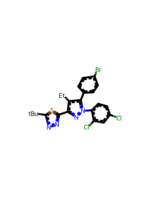 CCc1c(-c2nnc(C(C)(C)C)s2)nn(-c2ccc(Cl)cc2Cl)c1-c1ccc(Br)cc1